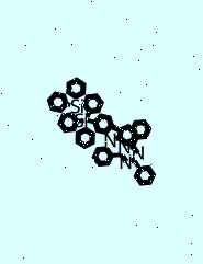 c1ccc(-c2nc(-c3ccccc3)nc(-c3ccccc3-n3c4ccccc4c4ccc([Si]5(c6ccccc6)c6ccccc6[Si](c6ccccc6)(c6ccccc6)c6ccccc65)cc43)n2)cc1